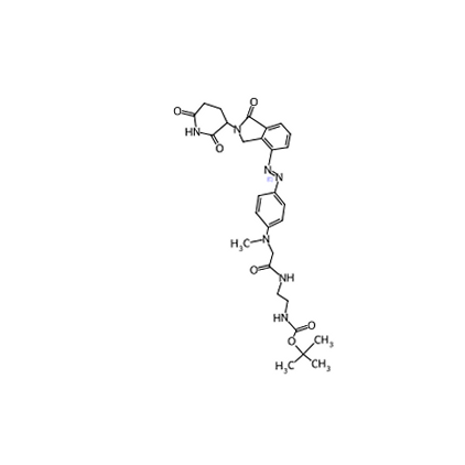 CN(CC(=O)NCCNC(=O)OC(C)(C)C)c1ccc(/N=N/c2cccc3c2CN(C2CCC(=O)NC2=O)C3=O)cc1